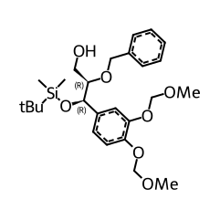 COCOc1ccc([C@@H](O[Si](C)(C)C(C)(C)C)[C@@H](CO)OCc2ccccc2)cc1OCOC